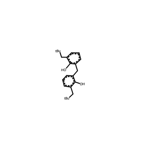 CC(C)(C)Cc1cccc(Cc2cccc(CC(C)(C)C)c2O)c1O